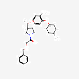 COc1ccc([C@@H]2CN(C(=O)COCc3ccccc3)C[C@@]2(C)[C@@H](C)O)cc1OC1CCC(C(F)(F)F)CC1